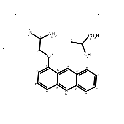 CC(O)C(=O)O.NC(N)COc1cccc2nc3ccccc3cc12